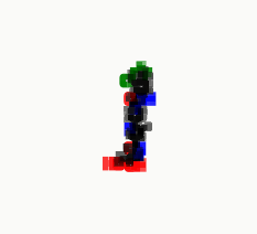 Cc1cc(-c2nnc(C(O)CO)o2)cnc1C1=CCN(C(=O)Nc2ccc(C(F)(F)F)c(Cl)c2)CC1